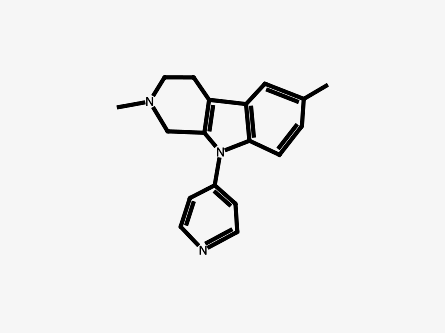 Cc1ccc2c(c1)c1c(n2-c2ccncc2)CN(C)CC1